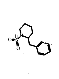 O=[SH](=O)N1CCCCC1Cc1ccccc1